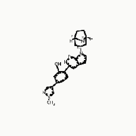 Cn1cc(-c2ccc(-c3cc4ccn([C@@H]5C[C@H]6CC[C@@H](C5)N6)c4nn3)c(O)c2)cn1